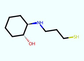 O[C@@H]1CCCC[C@H]1NCCCS